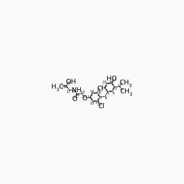 CC(C)c1cc(Cc2c(Cl)cc(OCC(=O)NC[C@@H](C)O)cc2Cl)ccc1O